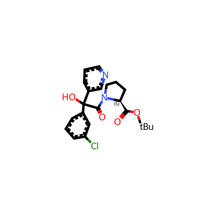 CC(C)(C)OC(=O)[C@@H]1CCCN1C(=O)C(O)(c1cccnc1)c1cccc(Cl)c1